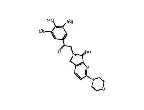 CC(C)(C)c1cc(C(=O)CN2Cc3ccc(N4CCOCC4)nc3C2=N)cc(C(C)(C)C)c1O